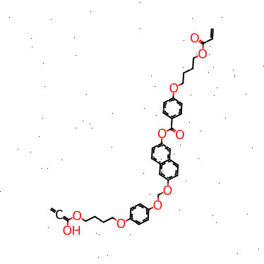 C=C=C(O)OCCCCOc1ccc(OCOc2ccc3cc(OC(=O)c4ccc(OCCCCOC(=O)C=C)cc4)ccc3c2)cc1